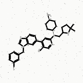 CC1(C)CCC(CN(c2cc(-c3ccc4ncn(Cc5cccc(F)c5)c4c3)c(Cl)cn2)[C@H]2CC[C@H](N)CC2)O1